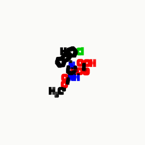 CCOCC(=O)NC1CCN(C[C@@]23C[C@@H](c4ccccc42)c2ccc(Cl)cc23)CC1.O=C(O)C(=O)O